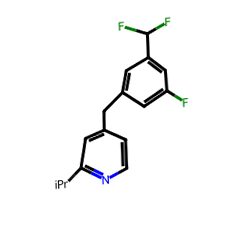 CC(C)c1cc(Cc2cc(F)cc(C(F)F)c2)ccn1